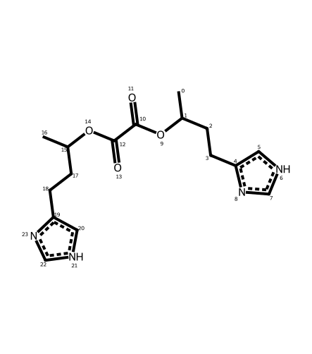 CC(CCc1c[nH]cn1)OC(=O)C(=O)OC(C)CCc1c[nH]cn1